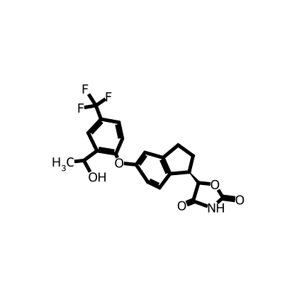 CC(O)c1cc(C(F)(F)F)ccc1Oc1ccc2c(c1)CC[C@H]2C1OC(=O)NC1=O